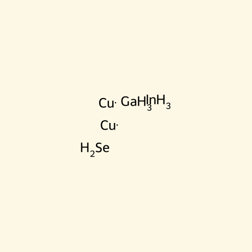 [Cu].[Cu].[GaH3].[InH3].[SeH2]